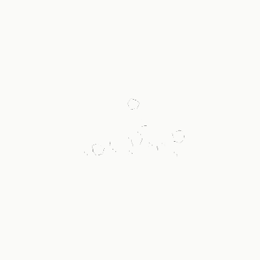 C/N=C(/NC1CCCN(C(=O)c2ccc([N+](=O)[O-])cc2)C1)C1=C(NC(=O)OCc2ccccc2)C(C)(C)N(C(=O)N[C@H](CN(C)C)c2ccccc2)C1